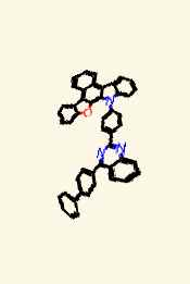 c1ccc(-c2ccc(-c3nc(-c4ccc(-n5c6ccccc6c6c7ccccc7c7c8ccccc8oc7c65)cc4)nc4ccccc34)cc2)cc1